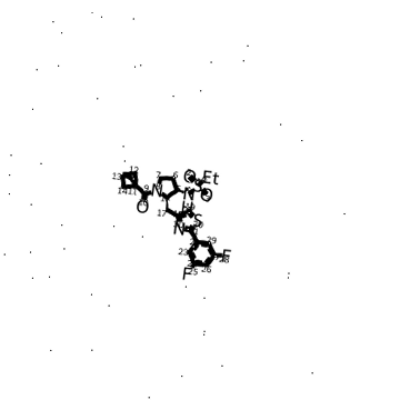 CCS(=O)(=O)N[C@@H]1CCN(C(=O)C23CC(C2)C3)[C@@H]1Cc1csc(-c2cc(F)cc(F)c2)n1